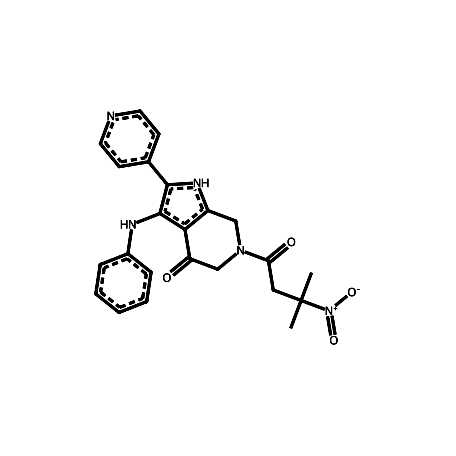 CC(C)(CC(=O)N1CC(=O)c2c([nH]c(-c3ccncc3)c2Nc2ccccc2)C1)[N+](=O)[O-]